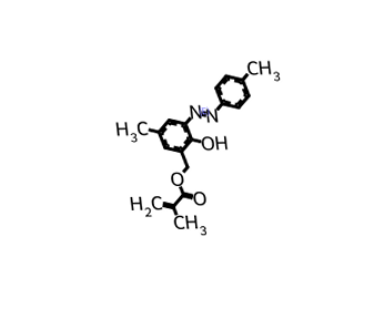 C=C(C)C(=O)OCc1cc(C)cc(/N=N/c2ccc(C)cc2)c1O